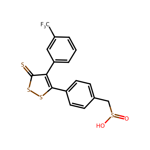 O=S(O)Cc1ccc(-c2ssc(=S)c2-c2cccc(C(F)(F)F)c2)cc1